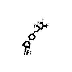 CCCc1ccc([C@H]2CC[C@H](CCc3cc(F)c(F)nc3F)CC2)cc1